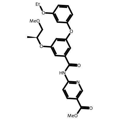 CCOc1cccc(Oc2cc(O[C@@H](C)COC)cc(C(=O)Nc3ccc(C(=O)OC)cn3)c2)c1